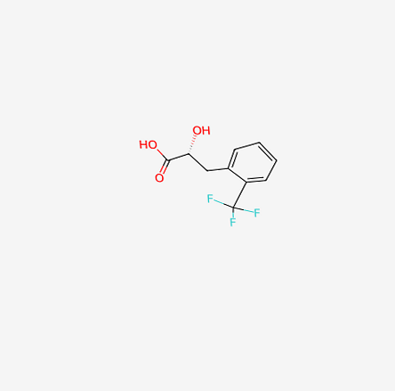 O=C(O)[C@H](O)Cc1ccccc1C(F)(F)F